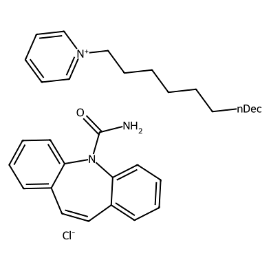 CCCCCCCCCCCCCCCC[n+]1ccccc1.NC(=O)N1c2ccccc2C=Cc2ccccc21.[Cl-]